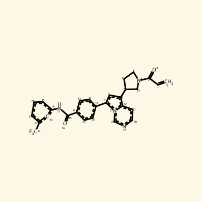 C=CC(=O)N1CCC(c2cc(-c3ccc(C(=O)Nc4cccc(C(F)(F)F)c4)cc3)n3cnccc23)C1